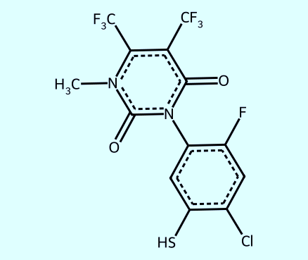 Cn1c(C(F)(F)F)c(C(F)(F)F)c(=O)n(-c2cc(S)c(Cl)cc2F)c1=O